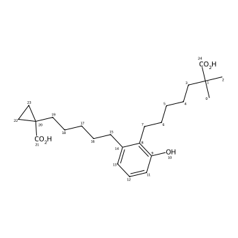 CC(C)(CCCCCc1c(O)cccc1CCCCCC1(C(=O)O)CC1)C(=O)O